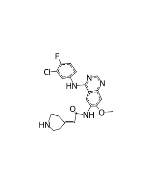 COc1cc2ncnc(Nc3ccc(F)c(Cl)c3)c2cc1NC(=O)C=C1CCNCC1